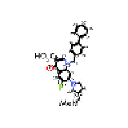 CNC[C@@H]1CCN(c2cc3c(cc2F)c(=O)c(C(=O)O)cn3Cc2ccc(-c3ccccc3)cc2)C1